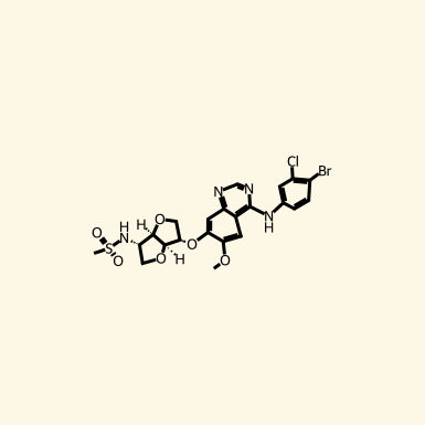 COc1cc2c(Nc3ccc(Br)c(Cl)c3)ncnc2cc1O[C@H]1CO[C@H]2[C@@H]1OC[C@@H]2NS(C)(=O)=O